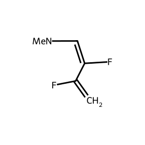 C=C(F)/C(F)=C\NC